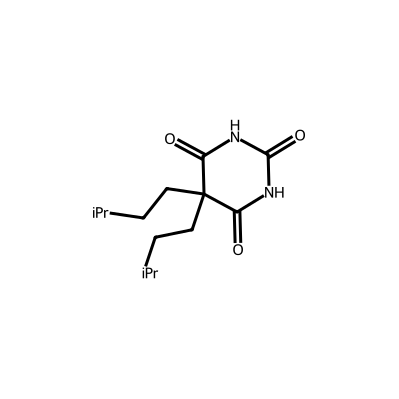 CC(C)CCC1(CCC(C)C)C(=O)NC(=O)NC1=O